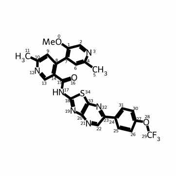 COc1cnc(C)cc1-c1cc(C)ncc1C(=O)Nc1nc2ncc(-c3ccc(OC(F)(F)F)cc3)nc2s1